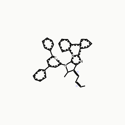 C/C=C\C=C1\c2nc3c4ccccc4c4ccccc4n3c2N(c2cc(-c3ccccc3)cc(-c3ccccc3)c2)C1C